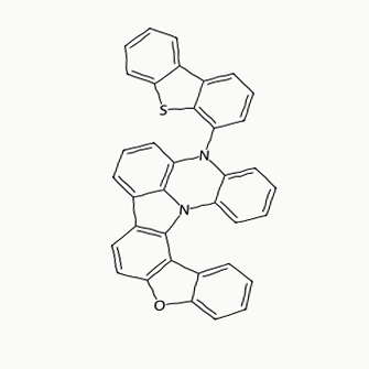 c1ccc2c(c1)N(c1cccc3c1sc1ccccc13)c1cccc3c4ccc5oc6ccccc6c5c4n-2c13